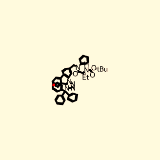 CC[C@@H](NC(=O)OC(C)(C)C)C(=O)N(Cc1ccc(-c2ccccc2-c2nnnn2C(c2ccccc2)(c2ccccc2)c2ccccc2)cc1)c1ccccc1